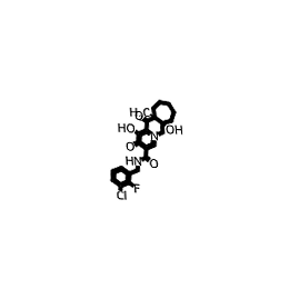 C[C@@]12CCCCC[C@]1(O)Cn1cc(C(=O)NCc3cccc(Cl)c3F)c(=O)c(O)c1C2=O